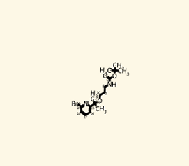 CC(C)(C)OC(=O)NCCCOC(C)(C)c1cccc(Br)n1